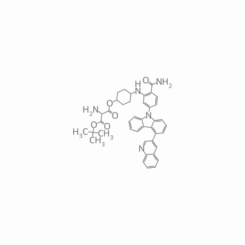 CC(C)(C)OC(=O)C(N)C(=O)OC1CCC(Nc2cc(-n3c4ccccc4c4c(-c5cnc6ccccc6c5)cccc43)ccc2C(N)=O)CC1